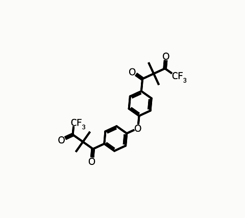 CC(C)(C(=O)c1ccc(Oc2ccc(C(=O)C(C)(C)C(=O)C(F)(F)F)cc2)cc1)C(=O)C(F)(F)F